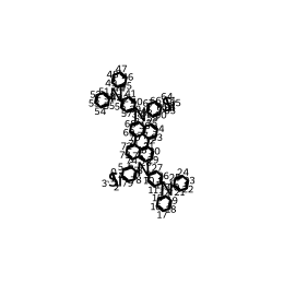 C[Si](C)(C)c1ccc(N(c2ccc(N(c3ccccc3)c3ccccc3)cc2)c2ccc3c4cccc5c(N(c6ccc(N(c7ccccc7)c7ccccc7)cc6)c6ccc([Si](C)(C)C)cc6)ccc(c6cccc2c63)c54)cc1